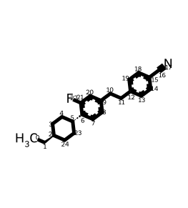 CC[C@H]1CC[C@H](c2ccc(CCc3ccc(C#N)cc3)cc2F)CC1